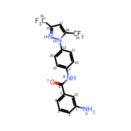 Nc1cccc(C(=O)Nc2ccc(-n3nc(C(F)(F)F)cc3C(F)(F)F)cc2)c1